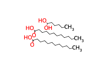 CCCCCC(O)O.CCCCCCCCCCCC(=O)O.CCCCCCCCCCCC(=O)O